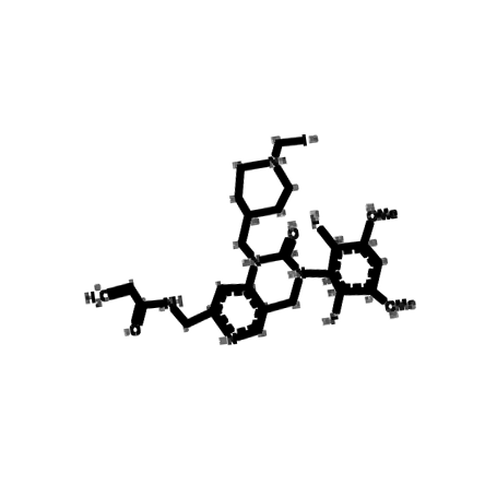 C=CC(=O)NCc1cc2c(cn1)CN(c1c(F)c(OC)cc(OC)c1F)C(=O)N2CC1CCN(CI)CC1